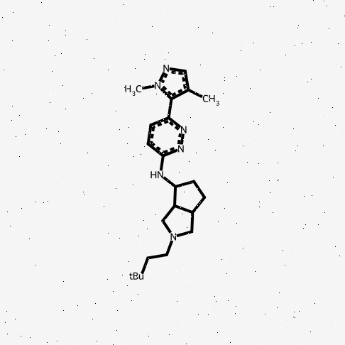 Cc1cnn(C)c1-c1ccc(NC2CCC3CN(CCC(C)(C)C)CC32)nn1